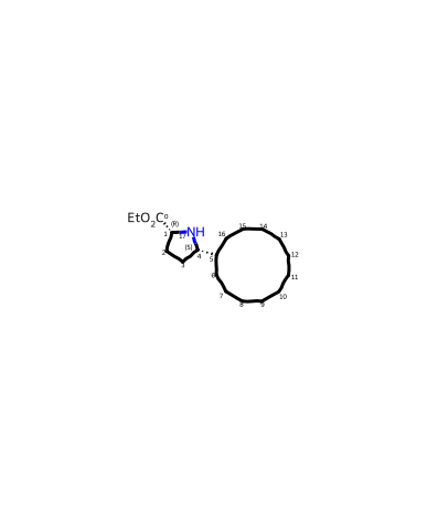 CCOC(=O)[C@H]1CC[C@@H](C2CCCCCCCCCCC2)N1